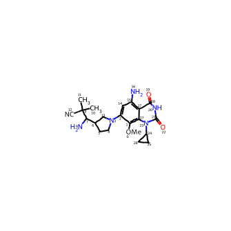 COc1c(N2CCC(C(N)C(C)(C)C#N)C2)cc(N)c2c(=O)[nH]c(=O)n(C3CC3)c12